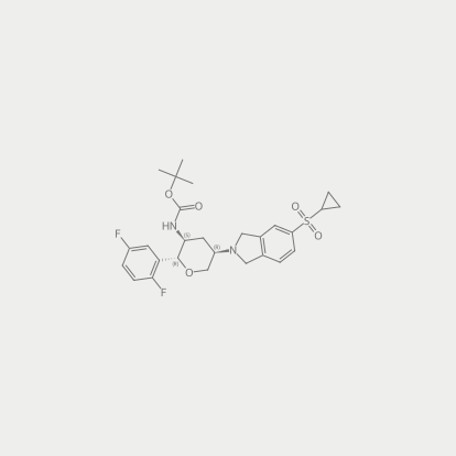 CC(C)(C)OC(=O)N[C@H]1C[C@@H](N2Cc3ccc(S(=O)(=O)C4CC4)cc3C2)CO[C@@H]1c1cc(F)ccc1F